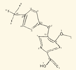 COc1cc(C(=O)O)ncc1Oc1ccc(C(F)(F)F)cc1